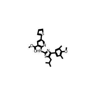 COC(=O)c1cc(-c2cccs2)cnc1Nc1nc(-c2cc(C)c(OC)c(C)c2)c(CC(C)C)s1